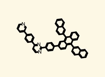 c1cncc(-c2ccc(-c3ccnc(-c4ccc(-c5ccc6c(-c7ccc8ccccc8c7)c7ccccc7c(-c7ccc8ccccc8c7)c6c5)cc4)n3)cc2)c1